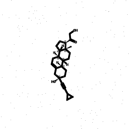 C[C@]12CC[C@H]3[C@@H](CC=C4C[C@](O)(C#CC5CC5)CC[C@@H]43)[C@@H]1CC[C@@H]2C(=O)CO